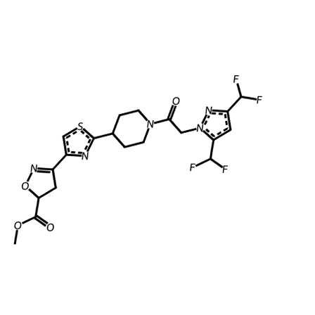 COC(=O)C1CC(c2csc(C3CCN(C(=O)Cn4nc(C(F)F)cc4C(F)F)CC3)n2)=NO1